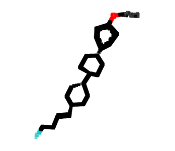 CCCCCOc1ccc([C@H]2CC[C@H]([C@H]3CC[C@H](C=CCCF)CC3)CC2)cc1